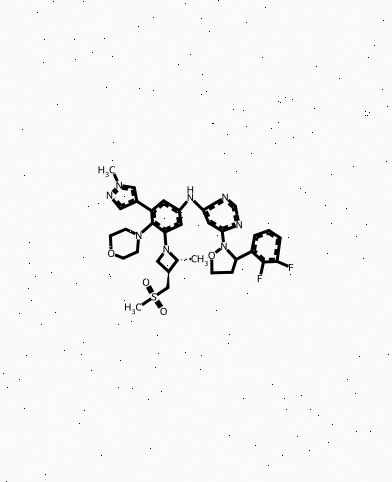 C[C@@H]1[C@@H](CS(C)(=O)=O)CN1c1cc(Nc2cc(N3OCCC3c3cccc(F)c3F)ncn2)cc(-c2cnn(C)c2)c1N1CCOCC1